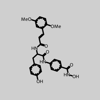 COc1ccc(OC)c(/C=C/C(=O)NC(Cc2ccc(O)cc2)C(=O)Nc2ccc(C(=O)NO)cc2)c1